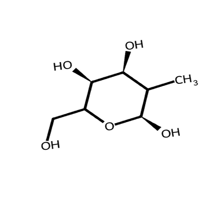 CC1[C@@H](O)OC(CO)[C@@H](O)[C@H]1O